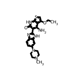 CCOc1csc2[nH]c(=O)c(-c3nc4ccc(N5CCN(C)CC5)cc4[nH]3)c(N)c12